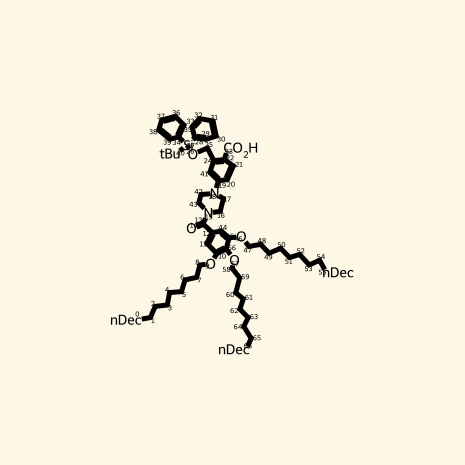 CCCCCCCCCCCCCCCCCCOc1cc(C(=O)N2CCN(c3ccc(C(=O)O)c(CO[Si](c4ccccc4)(c4ccccc4)C(C)(C)C)c3)CC2)cc(OCCCCCCCCCCCCCCCCCC)c1OCCCCCCCCCCCCCCCCCC